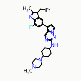 CC1=Nc2c(F)cc(-c3ccn4nc(NC5CCC(N6CCN(C)CC6)CC5)ncc34)cc2C1CC(C)C